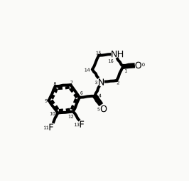 O=C1CN(C(=O)c2cccc(F)c2F)CCN1